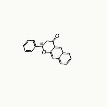 O=C1C[C@H](c2ccccc2)Oc2cc3ccccc3cc21